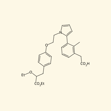 CCOC(=O)C(Cc1ccc(OCCn2cccc2-c2cccc(CC(=O)O)c2C)cc1)OCC